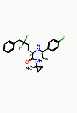 N#CC1(NC(=O)[C@H](CCC(F)(F)Cc2ccccc2)N[C@H](CF)c2ccc(F)cc2)CC1